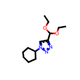 CCOC(OCC)c1cn(C2CCCCC2)nn1